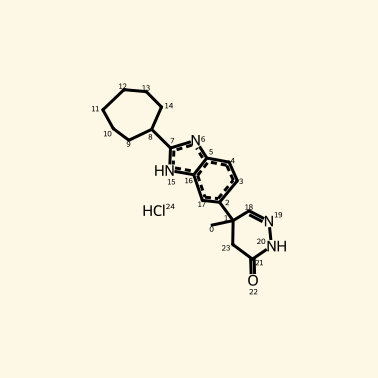 CC1(c2ccc3nc(C4CCCCCC4)[nH]c3c2)C=NNC(=O)C1.Cl